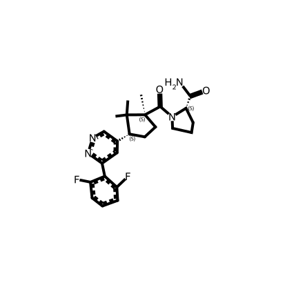 CC1(C)[C@@H](c2cnnc(-c3c(F)cccc3F)c2)CC[C@]1(C)C(=O)N1CCC[C@H]1C(N)=O